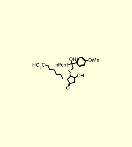 CCCCCC(O)(CS[C@H]1C(O)CC(=O)[C@@H]1CCCCCCC(=O)O)c1ccc(OC)cc1